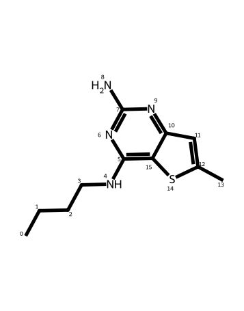 CCCCNc1nc(N)nc2cc(C)sc12